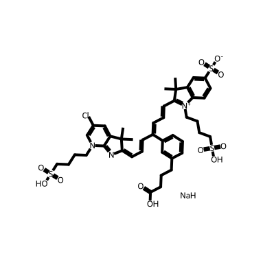 CC1(C)C(=CC=CC(=CC=CC2=[N+](CCCCS(=O)(=O)O)c3ccc(S(=O)(=O)[O-])cc3C2(C)C)c2cccc(CCCC(=O)O)c2)N=C2C1=CC(Cl)=CN2CCCCS(=O)(=O)O.[NaH]